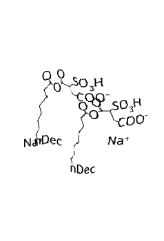 CCCCCCCCCCCCCCCCCC(=O)OC(=O)C(CC(=O)[O-])S(=O)(=O)O.CCCCCCCCCCCCCCCCCC(=O)OC(=O)C(CC(=O)[O-])S(=O)(=O)O.[Na+].[Na+]